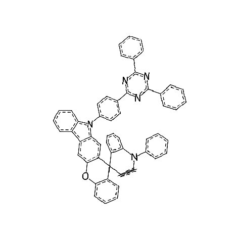 c1ccc(-c2nc(-c3ccccc3)nc(-c3ccc(-n4c5ccccc5c5cc6c(cc54)C4(c5ccccc5O6)c5ccccc5N(c5ccccc5)c5ccccc54)cc3)n2)cc1